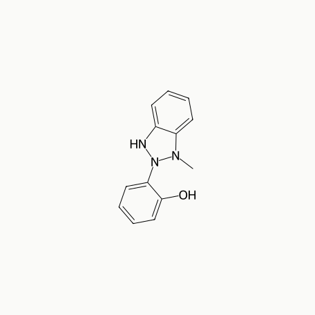 CN1c2ccccc2NN1c1ccccc1O